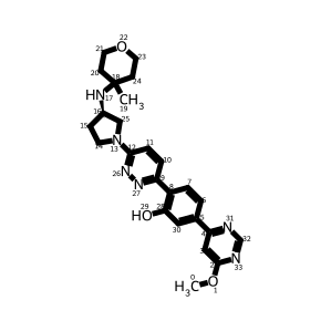 COc1cc(-c2ccc(-c3ccc(N4CC[C@@H](NC5(C)CCOCC5)C4)nn3)c(O)c2)ncn1